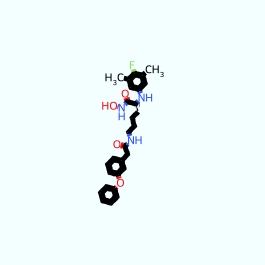 Cc1cc(N[C@H](CCCCNC(=O)Cc2cccc(Oc3ccccc3)c2)C(=O)NO)cc(C)c1F